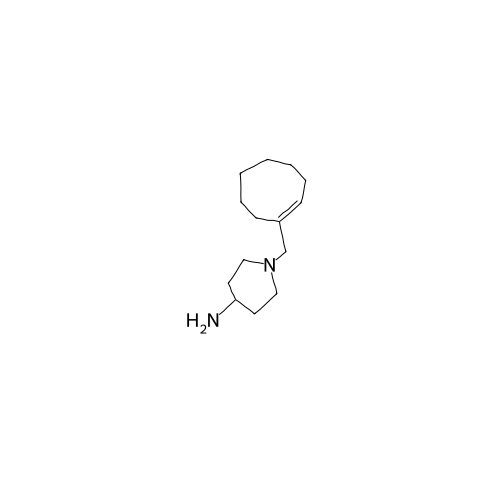 NC1CCN(CC2=CCCCCCC2)CC1